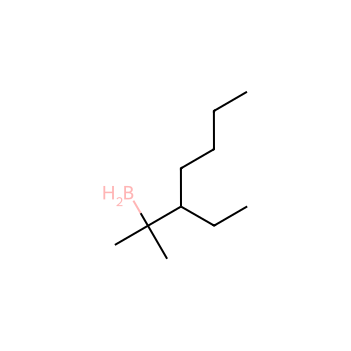 BC(C)(C)C(CC)CCCC